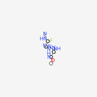 CN(C)CCNc1cc(F)cc(-c2nccc3[nH]c(-c4n[nH]c5ccc(-c6cncc(OC7CCCCC7)c6)cc45)nc23)c1